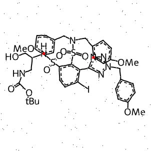 COc1ccc(CN(Cc2ccc(OC)cc2)S(=O)(=O)c2c(S(=O)(=O)NC(CO)CNC(=O)OC(C)(C)C)ccc(I)c2-c2nnn(Cc3ccc(OC)cc3)n2)cc1